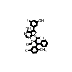 Cc1ccc(Cl)cc1/C(=C(\OC=O)C(C)n1nc(-c2cc(O)cc(F)c2)c2c(N)ncnc21)c1ccccc1